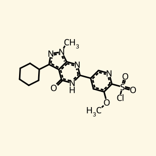 COc1cc(-c2nc3c(c(C4CCCCC4)nn3C)c(=O)[nH]2)cnc1S(=O)(=O)Cl